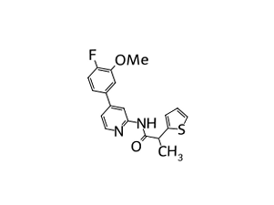 COc1cc(-c2ccnc(NC(=O)C(C)c3cccs3)c2)ccc1F